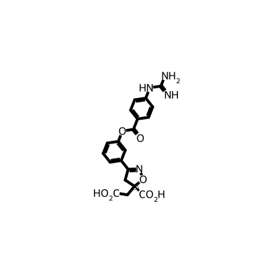 N=C(N)Nc1ccc(C(=O)Oc2cccc(C3=NO[C@@](CC(=O)O)(C(=O)O)C3)c2)cc1